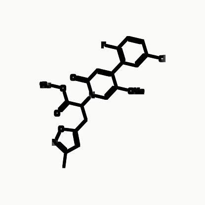 COc1cn(C(Cc2cc(C)no2)C(=O)OC(C)(C)C)c(=O)cc1-c1cc(Cl)ccc1F